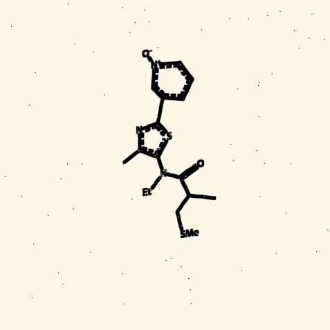 CCN(C(=O)C(C)CSC)c1sc(-c2ccc[n+]([O-])c2)nc1C